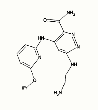 CC(C)Oc1cccc(Nc2cc(NCCN)nnc2C(N)=O)n1